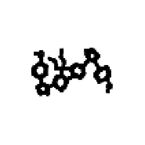 CCCC1(CCC)c2cc(-c3sccc3-c3ccc(OC)cc3)ccc2-c2ccc(-c3sccc3-c3ccc(OC)cc3)cc21